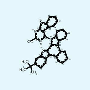 CC(C)(C)c1ccc2c(c1)sc1c2c2ccccc2c2c3ccccc3n(-c3nc(Cl)nc4sc5ccccc5c34)c12